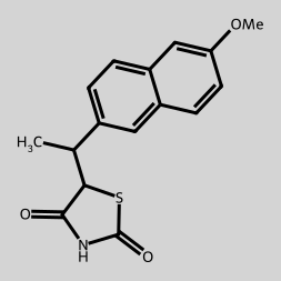 COc1ccc2cc(C(C)C3SC(=O)NC3=O)ccc2c1